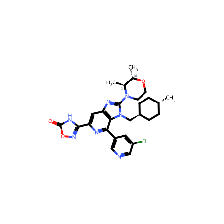 C[C@@H]1OCCN(c2nc3cc(-c4noc(=O)[nH]4)nc(-c4cncc(Cl)c4)c3n2C[C@H]2CC[C@H](C)CC2)[C@H]1C